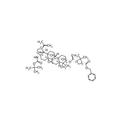 C=C(C)[C@@H]1CC[C@]2(NC(=O)OC(C)(C)C)CC[C@]3(C)[C@H](CC[C@@H]4[C@@]5(C)CC[C@H](OC(=O)[C@H]6C[C@@H](C(=O)OCc7ccccc7)C6(C)C)C(C)(C)[C@@H]5CC[C@]43C)[C@@H]12